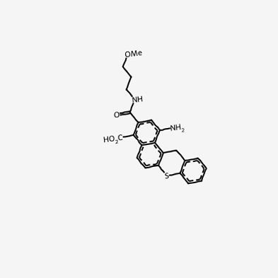 COCCCNC(=O)c1cc(N)c2c3c(ccc2c1C(=O)O)Sc1ccccc1C3